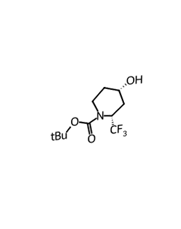 CC(C)(C)OC(=O)N1CC[C@H](O)C[C@@H]1C(F)(F)F